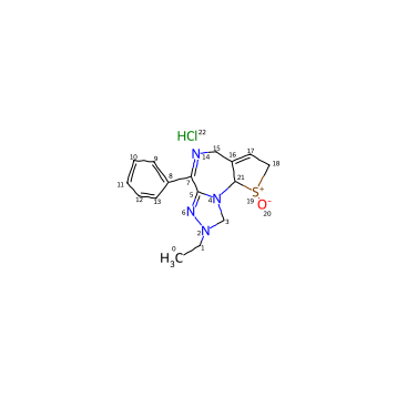 CCN1CN2C(=N1)C(c1ccccc1)=NCC1=CC[S+]([O-])C12.Cl